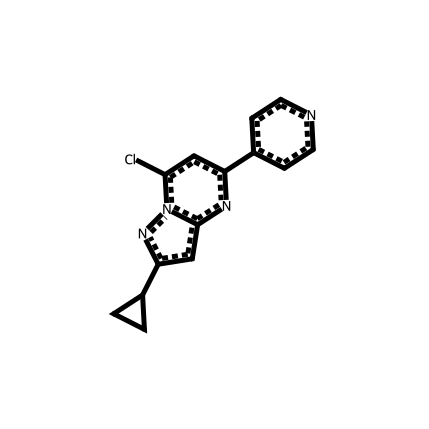 Clc1cc(-c2ccncc2)nc2cc(C3CC3)nn12